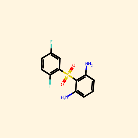 Nc1cccc(N)c1S(=O)(=O)c1cc(F)ccc1F